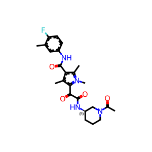 CC(=O)N1CCC[C@@H](NC(=O)C(=O)c2c(C)c(C(=O)Nc3ccc(F)c(C)c3)c(C)n2C)C1